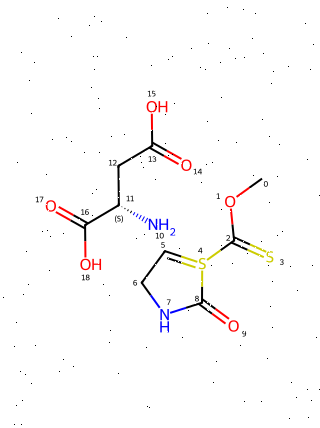 COC(=S)S1=CCNC1=O.N[C@@H](CC(=O)O)C(=O)O